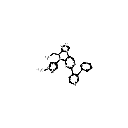 CCC1c2nncn2-c2cnc(-c3ccncc3-c3ccccc3)nc2N1c1cnn(C)c1